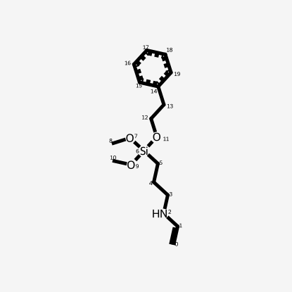 C=CNCCC[Si](OC)(OC)OCCc1ccccc1